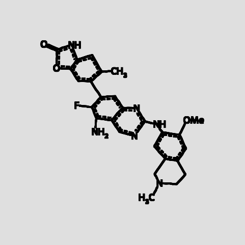 COc1cc2c(cc1Nc1ncc3c(N)c(F)c(-c4cc5oc(=O)[nH]c5cc4C)cc3n1)CN(C)CC2